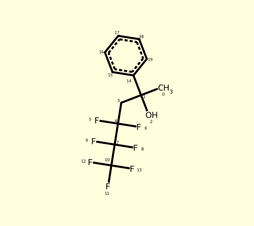 CC(O)(CC(F)(F)C(F)(F)C(F)(F)F)c1ccccc1